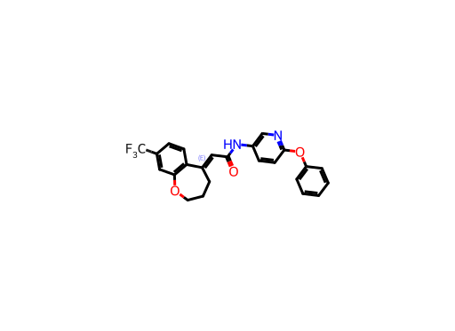 O=C(/C=C1\CCCOc2cc(C(F)(F)F)ccc21)Nc1ccc(Oc2ccccc2)nc1